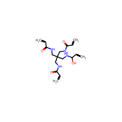 C=CC(=O)NCC(CNC(=O)C=C)(CNC(=O)C=C)CNC(O)C=C